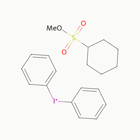 COS(=O)(=O)C1CCCCC1.c1ccc([I+]c2ccccc2)cc1